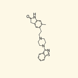 Cc1cc2c(cc1CCN1CCN(c3nsc4ccccc34)CC1)CC(=O)N2